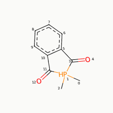 C[PH]1(C)C(=O)c2ccccc2C1=O